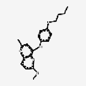 CCCCOc1ccc(Nc2cc(C)nc3ccc(OC)nc23)cc1